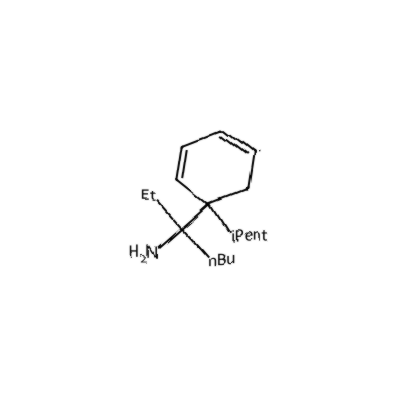 CCCCC(N)(CC)C1(C(C)CCC)C=CC=[C]C1